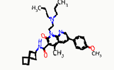 CCCN(CCC)CCn1c(=O)c(C(=O)NC2CC3(CCC3)C2)c(C)c2cc(-c3ccc(OC)cc3)cnc21